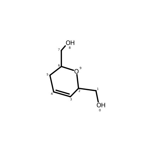 OCC1C=CCC(CO)O1